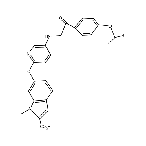 Cn1c(C(=O)O)cc2ccc(Oc3ccc(NCC(=O)c4ccc(OC(F)F)cc4)cn3)cc21